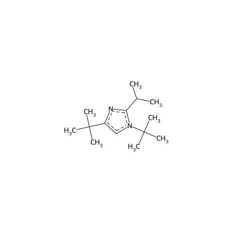 CC(C)c1nc(C(C)(C)C)cn1C(C)(C)C